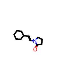 O=C1CCCN1C=CC1CCCCC1